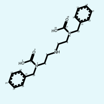 O=C(O)N(CCNCCN(Cc1ccccc1)C(=O)O)Cc1ccccc1